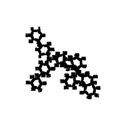 c1ccc(-c2ccc(N(c3ccc(-c4ccccc4)cc3)c3ccc4c(c3)sc3c(-n5c6ccccc6c6c7ccccc7ccc65)cccc34)cc2)cc1